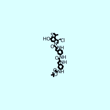 Cc1csc2c(O)cc3c(c12)[C@@H](CCl)CN3C(=O)c1cc2cc(NC(=O)c3cc4cc(NC(=O)OC(C)(C)C)ccc4[nH]3)ccc2[nH]1